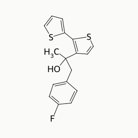 CC(O)(Cc1ccc(F)cc1)c1ccsc1-c1cccs1